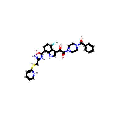 O=C(C(=O)N1CCN(C(=O)c2ccccc2)CC1)c1c[nH]c2c(-c3nc(CSc4ccccn4)no3)ccc(F)c12